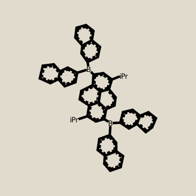 CC(C)c1cc(B(c2ccc3ccccc3c2)c2ccc3ccccc3c2)c2ccc3c(C(C)C)cc(B(c4ccc5ccccc5c4)c4ccc5ccccc5c4)c4ccc1c2c43